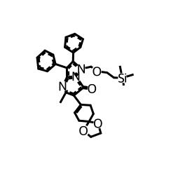 Cc1nc2c(-c3ccccc3)c(-c3ccccc3)n(COCC[Si](C)(C)C)n2c(=O)c1C1=CCC2(CC1)OCCO2